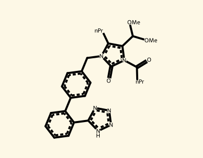 CCCC(=O)n1c(C(OC)OC)c(CCC)n(Cc2ccc(-c3ccccc3-c3nnn[nH]3)cc2)c1=O